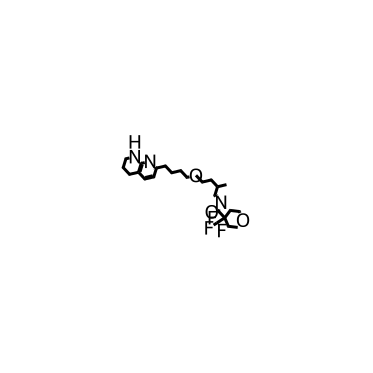 CC(C=NC(=O)C1(C(F)(F)F)CCOCC1)CCOCCCCc1ccc2c(n1)NCCC2